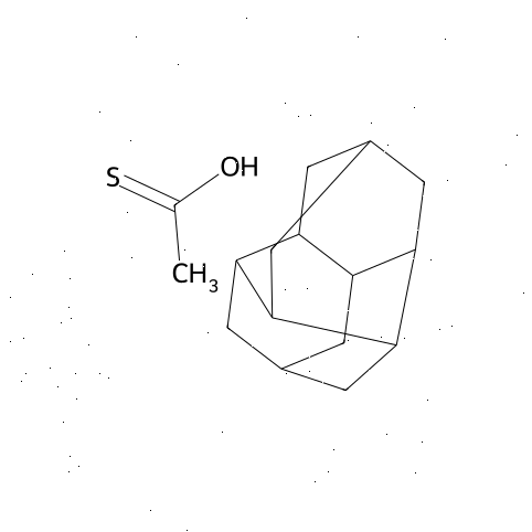 C1C2CC3C4CC5CC(C14)C(C2)C3C5.CC(O)=S